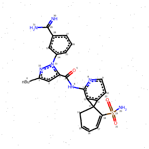 CCCCc1cc(C(=O)Nc2nccc3c2C32CC=CC=C2S(N)(=O)=O)n(-c2cccc(C(=N)N)c2)n1